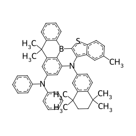 Cc1ccc2sc3c(c2c1)N(c1ccc2c(c1)C(C)(C)CCC2(C)C)c1cc(N(c2ccccc2)c2ccccc2)cc2c1B3c1ccccc1C2(C)C